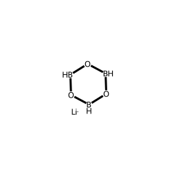 B1OBOBO1.[Li]